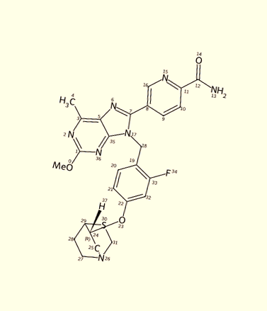 COc1nc(C)c2nc(-c3ccc(C(N)=O)nc3)n(Cc3ccc(O[C@@H]4CN5CCC4SC5)cc3F)c2n1